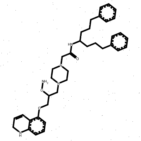 NOC(COc1cccc2c1C=CCN2)CN1CCN(CC(=O)NC(CCCc2ccccc2)CCCc2ccccc2)CC1